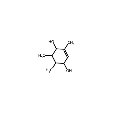 CC1=CC(O)C(C)C(C)C1O